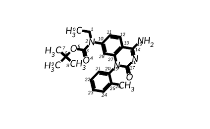 CCN(C(=O)OC(C)(C)C)c1ccc2c(N)nc(=O)n(-c3ccccc3C)c2c1